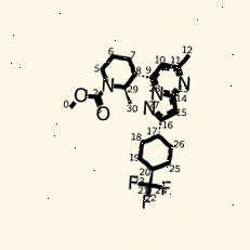 COC(=O)N1CCC[C@H](c2cc(C)nc3cc([C@H]4CC[C@H](C(F)(F)F)CC4)nn23)[C@H]1C